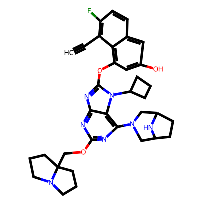 C#Cc1c(F)ccc2cc(O)cc(Oc3nc4nc(OCC56CCCN5CCC6)nc(N5CC6CCC(C5)N6)c4n3C3CCC3)c12